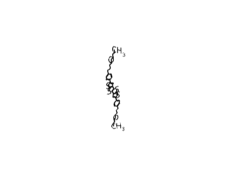 CCCCOCCCCc1ccc(-c2cc3c(s2)sc2c4cc(-c5ccc(CCCCOCCCC)cc5)sc4sc32)cc1